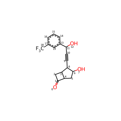 O=C1CC2C1CC(O)C2C#CC(O)c1cccc(C(F)(F)F)c1